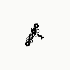 CC(C)=CCCOc1c(N2CCN(S(=O)(=O)c3ccccc3)CC2)cnn(-c2ccccc2)c1=O